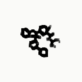 CC(C)NC(=O)c1cc(N(Cc2ccccc2)S(=O)(=O)C2=COC=C(C3=CC=CCC3)O2)ccc1F